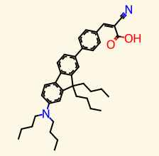 CCCCN(CCCC)c1ccc2c(c1)C(CCCC)(CCCC)c1cc(-c3ccc(C=C(C#N)C(=O)O)cc3)ccc1-2